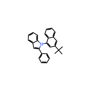 CC(C)(C)c1cc(-n2c(-c3ccccc3)cc3ccccc32)c2ccccc2c1